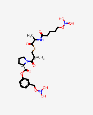 CC(NC(=O)CCCCON(O)O)C(=O)SC[C@@H](C)C(=O)N1CCC[C@H]1C(=O)Oc1cccc(CON(O)O)c1